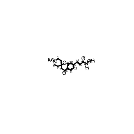 CC(=O)N1CCC2(CC1)CC(=O)c1ccc(C=CC(=O)NO)cc1O2